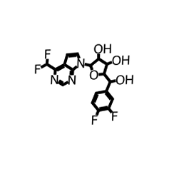 OC(c1ccc(F)c(F)c1)C1OC(n2ccc3c(C(F)F)ncnc32)C(O)C1O